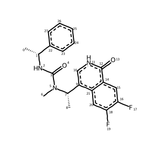 C[C@@H](NC(=O)N(C)[C@@H](C)c1c[nH]c(=O)c2cc(F)c(F)cc12)c1ccccc1